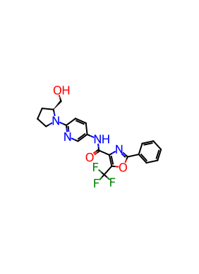 O=C(Nc1ccc(N2CCC[C@H]2CO)nc1)c1nc(-c2ccccc2)oc1C(F)(F)F